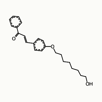 O=C(C=Cc1ccc(OCCCCCCCCO)cc1)c1ccccc1